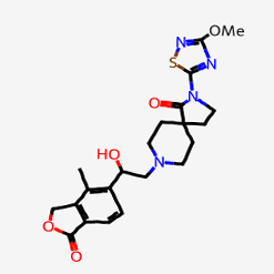 COc1nsc(N2CCC3(CCN(CC(O)c4ccc5c(c4C)COC5=O)CC3)C2=O)n1